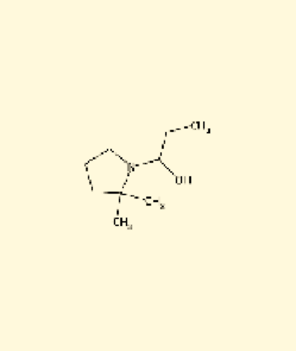 CCC(O)N1CCCC1(C)C